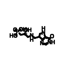 O=c1[nH]cnc2c1NCC2CNC[C@@H](O)CP(=O)(O)O